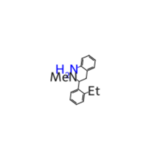 CCc1ccccc1C(Cc1ccccc1N)NC